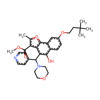 COC(=O)c1c(C)oc2c1c(C(c1ccncc1)N1CCOCC1)c(O)c1ccc(OCCC(C)(C)C)cc12